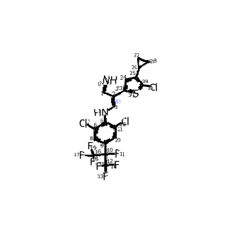 N=C/C(=C\Nc1c(Cl)cc(C(F)(C(F)(F)F)C(F)(F)F)cc1Cl)c1cc(C2CC2)c(Cl)s1